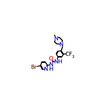 CN1CCN(Cc2ccc(NC(=O)Nc3ccc(Br)cn3)cc2C(F)(F)F)CC1